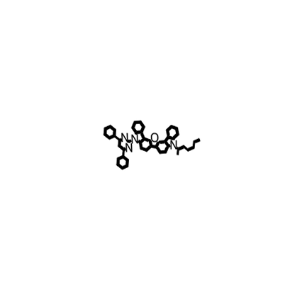 C=C/C=C\C=C(/C)n1c2ccccc2c2c3oc4c(ccc5c4c4ccccc4n5-c4nc(-c5ccccc5)cc(-c5ccccc5)n4)c3ccc21